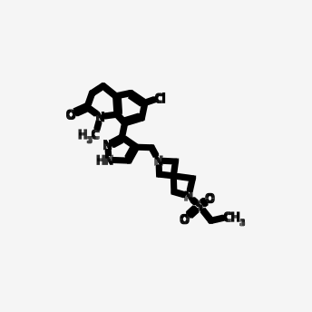 CCS(=O)(=O)N1CC2(CN(Cc3c[nH]nc3-c3cc(Cl)cc4c3N(C)C(=O)CC4)C2)C1